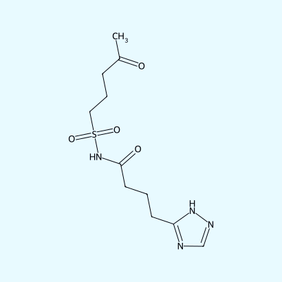 CC(=O)CCCS(=O)(=O)NC(=O)CCCc1ncn[nH]1